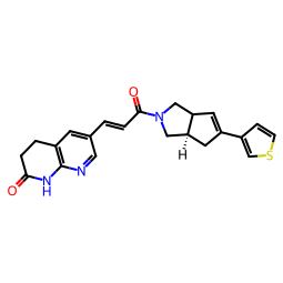 O=C1CCc2cc(/C=C/C(=O)N3CC4C=C(c5ccsc5)C[C@H]4C3)cnc2N1